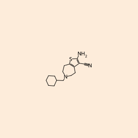 N#Cc1c(N)sc2c1CCN(CC1CCCCC1)CC2